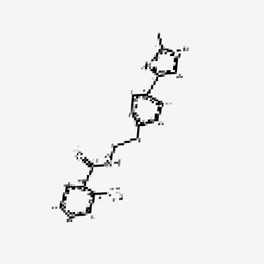 Cc1nc(-c2ccc(CCNC(=O)c3ccccc3C(F)(F)F)cc2)cs1